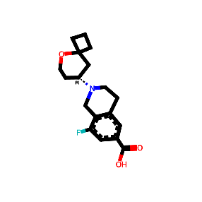 O=C(O)c1cc(F)c2c(c1)CCN([C@@H]1CCOC3(CCC3)C1)C2